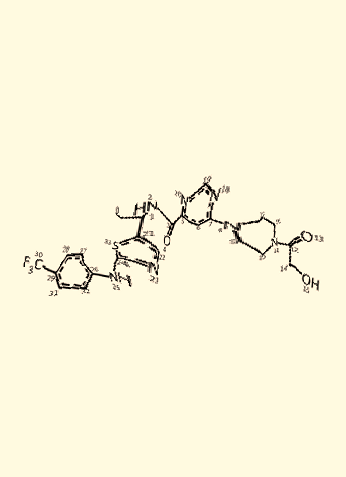 CC(NC(=O)c1cc(N2CCN(C(=O)CO)CC2)ncn1)c1cnc(Nc2ccc(C(F)(F)F)cc2)s1